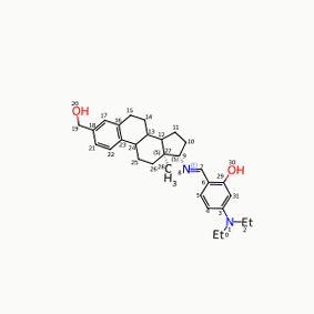 CCN(CC)c1ccc(/C=N/[C@H]2CCC3C4CCc5cc(CO)ccc5C4CC[C@@]32C)c(O)c1